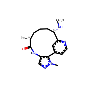 CC[C@@H]1CCC[C@H](NC(=O)O)c2cc(ccn2)-c2c(cnn2C)NC1=O